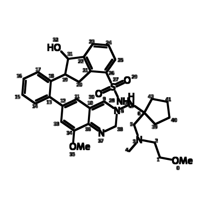 COCCN(C)CC1(NN2C=c3cc(-c4ccccc4C4Cc5c(cccc5S(N)(=O)=O)C4O)cc(OC)c3=NC2)CCCC1